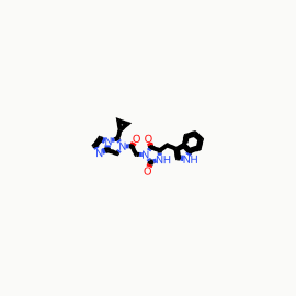 O=C1NC(Cc2c[nH]c3ccccc23)C(=O)N1CC(=O)N1Cc2nccn2C1C1CC1